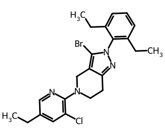 CCc1cnc(N2CCc3nn(-c4c(CC)cccc4CC)c(Br)c3C2)c(Cl)c1